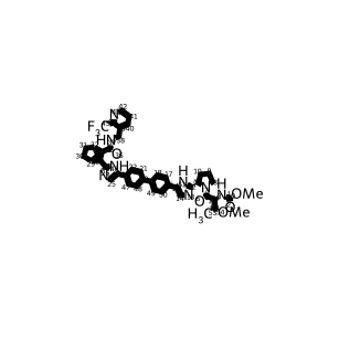 COC(=O)N[C@H](C(=O)N1CCC[C@H]1c1ncc(-c2ccc(-c3ccc(-c4cnc(C5C6CCC(C6)C5C(=O)NCc5cccnc5C(F)(F)F)[nH]4)cc3)cc2)[nH]1)[C@@H](C)OC